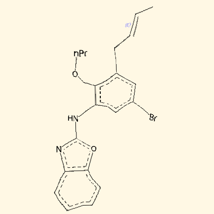 C/C=C/Cc1cc(Br)cc(Nc2nc3ccccc3o2)c1OCCC